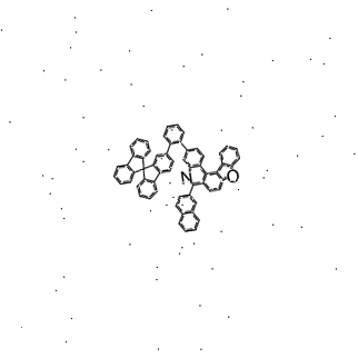 c1ccc(-c2ccc3c(c2)nc(-c2ccc4ccccc4c2)c2ccc4oc5ccccc5c4c23)c(-c2ccc3c(c2)C2(c4ccccc4-c4ccccc42)c2ccccc2-3)c1